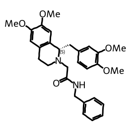 COc1ccc(C[C@H]2c3cc(OC)c(OC)cc3CCN2CC(=O)NCc2ccccc2)cc1OC